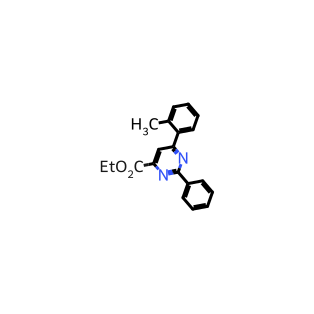 CCOC(=O)c1cc(-c2ccccc2C)nc(-c2ccccc2)n1